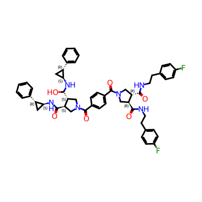 O=C(NCCc1ccc(F)cc1)[C@H]1CN(C(=O)c2ccc(C(=O)N3C[C@@H](C(=O)N[C@H]4C[C@@H]4c4ccccc4)[C@H](C(O)N[C@H]4C[C@@H]4c4ccccc4)C3)cc2)C[C@@H]1C(=O)NCCc1ccc(F)cc1